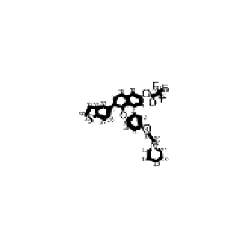 O=C(Oc1ccc2c(Oc3ccc(OCCN4CCCCC4)cc3)c(-c3ccc4sccc4c3)ccc2c1)C(F)(F)F